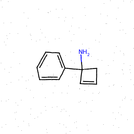 NC1(c2ccccc2)C=CC1